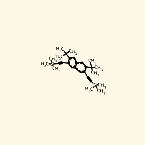 CC(C)(C)c1cc2cc(C(C)(C)C)c(C#C[Si](C)(C)C)cc2cc1C#C[Si](C)(C)C